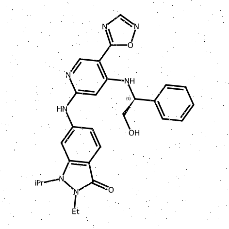 CCn1c(=O)c2ccc(Nc3cc(N[C@H](CO)c4ccccc4)c(-c4ncno4)cn3)cc2n1C(C)C